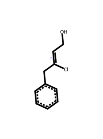 OC/C=C(\Cl)Cc1ccccc1